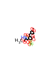 COC(=O)C1=C(OS(=O)(=O)C(F)(F)F)c2cc3c(c(Cc4ccc5c(c4)OCO5)c2S(=O)(=O)N1)OCO3